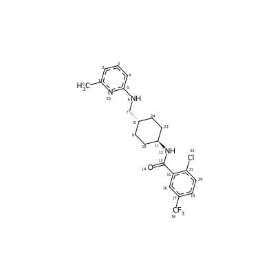 Cc1cccc(NC[C@H]2CC[C@H](NC(=O)c3cc(C(F)(F)F)ccc3Cl)CC2)n1